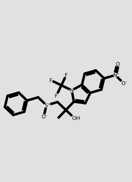 CC(O)(C[S+]([O-])Cc1ccccc1)c1cc2cc([N+](=O)[O-])ccc2n1C(F)(F)F